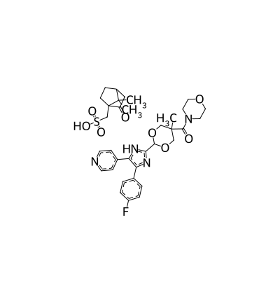 CC1(C(=O)N2CCOCC2)COC(c2nc(-c3ccc(F)cc3)c(-c3ccncc3)[nH]2)OC1.CC1(C)C2CCC1(CS(=O)(=O)O)C(=O)C2